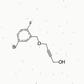 OCC#CCOCc1cc(Br)ccc1F